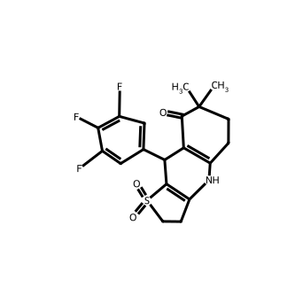 CC1(C)CCC2=C(C1=O)C(c1cc(F)c(F)c(F)c1)C1=C(CCS1(=O)=O)N2